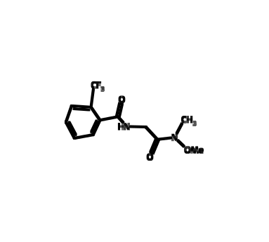 CON(C)C(=O)CNC(=O)c1ccccc1C(F)(F)F